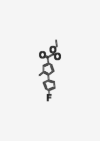 CCOC(=O)C(=O)c1ccc(-c2ccc(F)cc2)c(C)c1